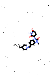 Cn1c(=O)n(C2CCC(=O)NC2=O)c2ccc(CN3CCC(CC(=O)O)CC3)cc21